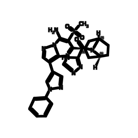 CS(=O)(=O)c1c([C@@H]2C[C@H]3CC[C@@H](C2)N3C(=O)c2nnc[nH]2)nc2c(-c3cnn(-c4ccccc4)c3)cnn2c1N